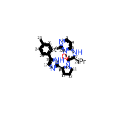 CCc1nccc(N[C@H](C(=O)N2CCC[C@H]2c2ncc(-c3ccc(C)cc3)[nH]2)C(C)C)n1